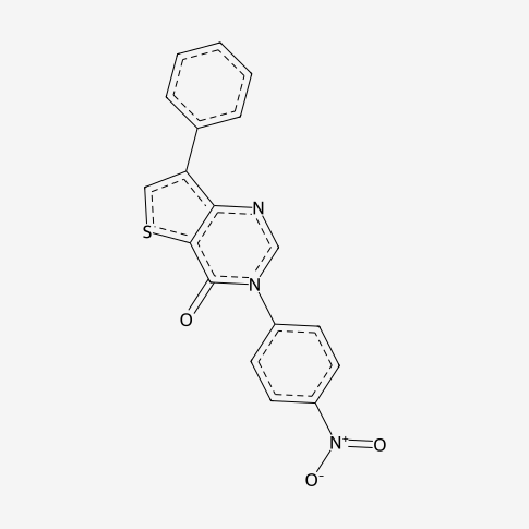 O=c1c2scc(-c3ccccc3)c2ncn1-c1ccc([N+](=O)[O-])cc1